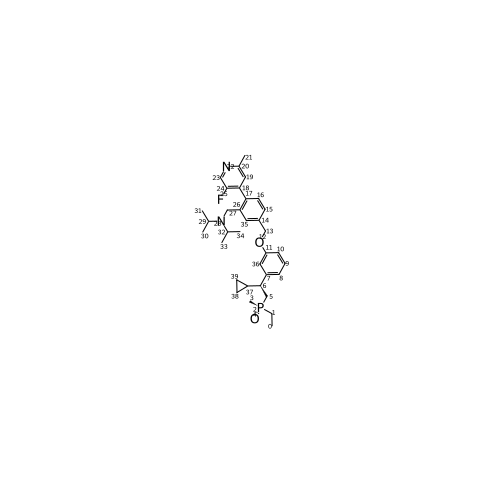 CC[P@](C)(=O)C[C@H](c1cccc(OCc2ccc(-c3cc(C)ncc3F)c(CN(C(C)C)C(C)C)c2)c1)C1CC1